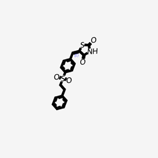 O=C1NC(=O)/C(=C\c2ccc(S(=O)(=O)CCc3ccccc3)cc2)S1